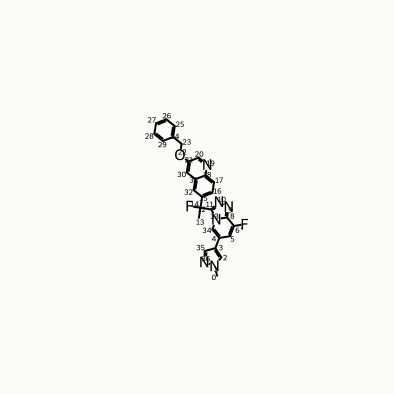 Cn1cc(-c2cc(F)c3nnc(C(C)(F)c4ccc5ncc(OCc6ccccc6)cc5c4)n3c2)cn1